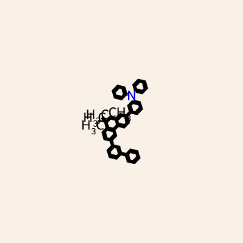 CC1(C)c2ccc(-c3cccc(-c4ccccc4)c3)cc2-c2ccc(-c3cccc(N(c4ccccc4)c4ccccc4)c3)cc2C1(C)C